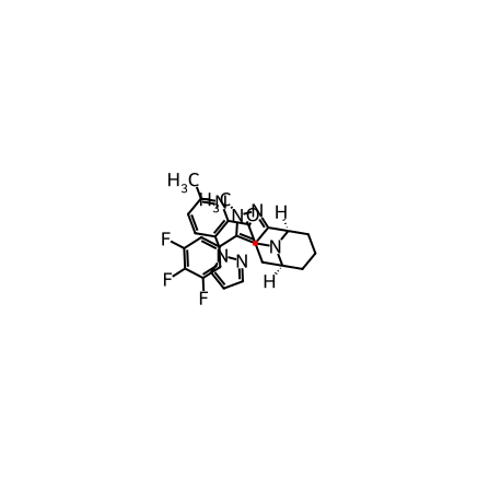 Cc1ccc(-n2cccn2)c(C(=O)CN2[C@H]3CCC[C@@H]2c2nn(C)c(-c4cc(F)c(F)c(F)c4)c2C3)n1